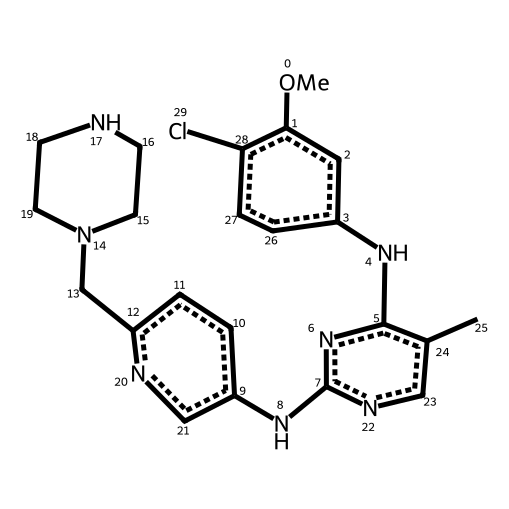 COc1cc(Nc2nc(Nc3ccc(CN4CCNCC4)nc3)ncc2C)ccc1Cl